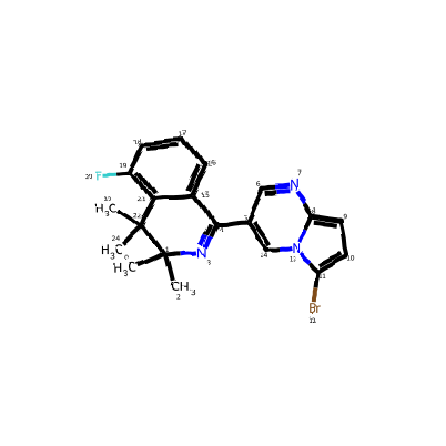 CC1(C)N=C(c2cnc3ccc(Br)n3c2)c2cccc(F)c2C1(C)C